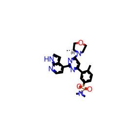 Cc1ccc(S(=O)(=O)N(C)C)cc1-c1cc(N2CCOC[C@H]2C)nc(-c2ccnc3[nH]ccc23)n1